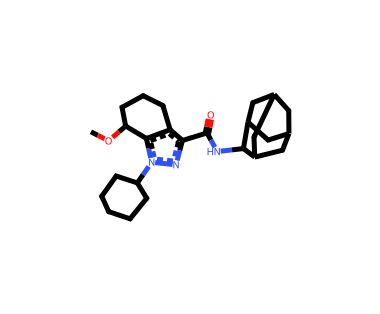 COC1CCCc2c(C(=O)NC3C4CC5CC(C4)CC3C5)nn(C3CCCCC3)c21